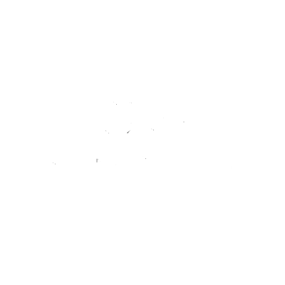 COCCOc1ncc(Nc2nc(N[C@H](C3CCC3)[C@H](C)NC(=O)O)c(F)cc2C#N)cc1F